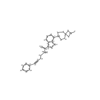 CN1CC2(CCN(c3cccc4c3ncn4C(=O)NCCC#Cc3ccccc3)CC2)C1